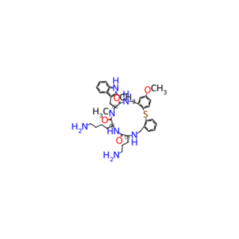 COc1ccc2c(c1)CNC(=O)[C@H](Cc1c(C)[nH]c3ccccc13)N(C)C(=O)[C@H](CCCCN)NC(=O)[C@H](CCCN)NCc1ccccc1S2